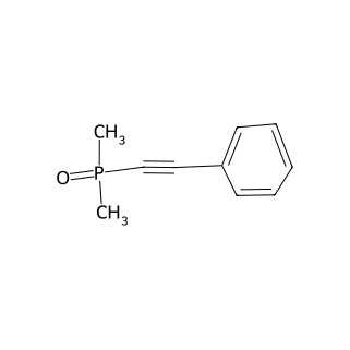 CP(C)(=O)C#Cc1ccccc1